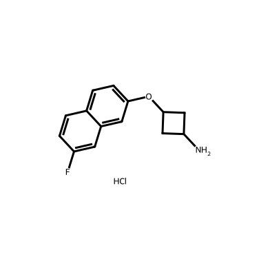 Cl.NC1CC(Oc2ccc3ccc(F)cc3c2)C1